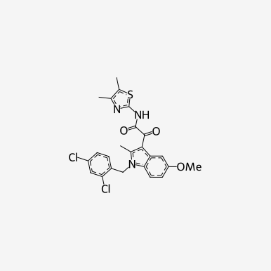 COc1ccc2c(c1)c(C(=O)C(=O)Nc1nc(C)c(C)s1)c(C)n2Cc1ccc(Cl)cc1Cl